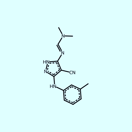 Cc1cccc(Nc2n[nH]c(/N=C/N(C)C)c2C#N)c1